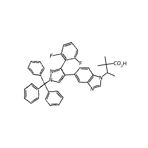 CC(n1cnc2cc(-c3cn(C(c4ccccc4)(c4ccccc4)c4ccccc4)nc3-c3c(F)cccc3F)ccc21)C(C)(C)C(=O)O